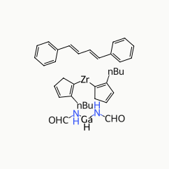 C(C=Cc1ccccc1)=Cc1ccccc1.CCCCC1=[C]([Zr][C]2=C(CCCC)C=CC2)CC=C1.O=C[NH][GaH][NH]C=O